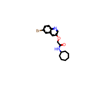 O=C(COc1cnc2ccc(Br)cc2c1)NC1CCCCCC1